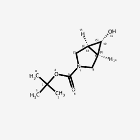 CC(C)(C)OC(=O)N1C[C@@H]2[C@@H](O)[C@@H]2C1